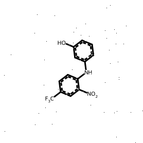 O=[N+]([O-])c1cc(C(F)(F)F)ccc1Nc1cccc(O)c1